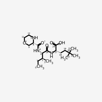 CC[C@H](C)[C@H](NC(=O)[C@@H]1COCCN1)C(=O)N[C@@H](CCC(C)(C)C)C(=O)O